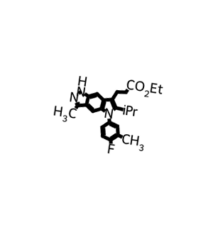 CCOC(=O)CCc1c(C(C)C)n(-c2ccc(F)c(C)c2)c2cc3c(C)n[nH]c3cc12